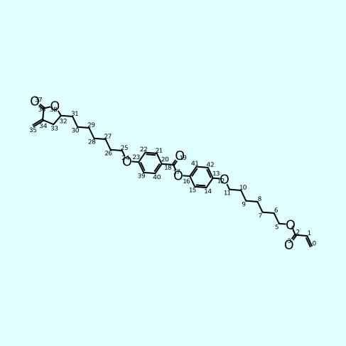 C=CC(=O)OCCCCCCCOc1ccc(OC(=O)c2ccc(OCCCCCCCC3CC(=C)C(=O)O3)cc2)cc1